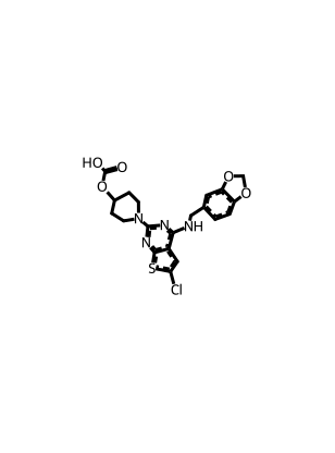 O=C(O)OC1CCN(c2nc(NCc3ccc4c(c3)OCO4)c3cc(Cl)sc3n2)CC1